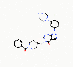 CN1CCN(c2cc(-n3ncc4c(=O)n(CC5(O)CCN(C(=O)c6ccccc6)CC5)cnc43)ccc2F)CC1